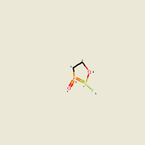 O=P1=S(F)OCC1